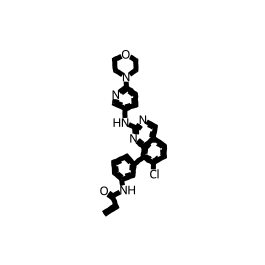 C=CC(=O)Nc1cccc(-c2c(Cl)ccc3cnc(Nc4ccc(N5CCOCC5)nc4)nc23)c1